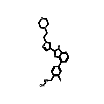 O=CNCc1ccc(-c2ccnc3[nH]c(-c4cnn(CCN5CCOCC5)c4)nc23)cc1F